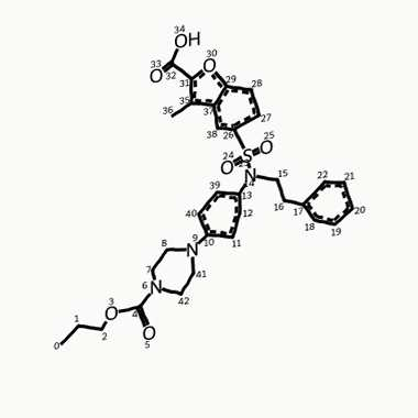 CCCOC(=O)N1CCN(c2ccc(N(CCc3ccccc3)S(=O)(=O)c3ccc4oc(C(=O)O)c(C)c4c3)cc2)CC1